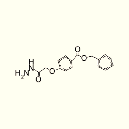 NNC(=O)COc1ccc(C(=O)OCc2ccccc2)cc1